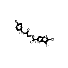 O=C(CNC(=O)c1cc2sc(Cl)c(Cl)c2[nH]1)Nc1ccc(F)cc1